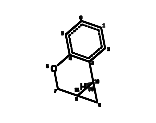 c1ccc2c(c1)OCC1C[C@H]21